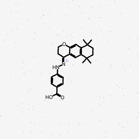 CC1(C)CCC(C)(C)c2cc3c(cc21)OCC/C3=N\Nc1ccc(C(=O)O)cc1